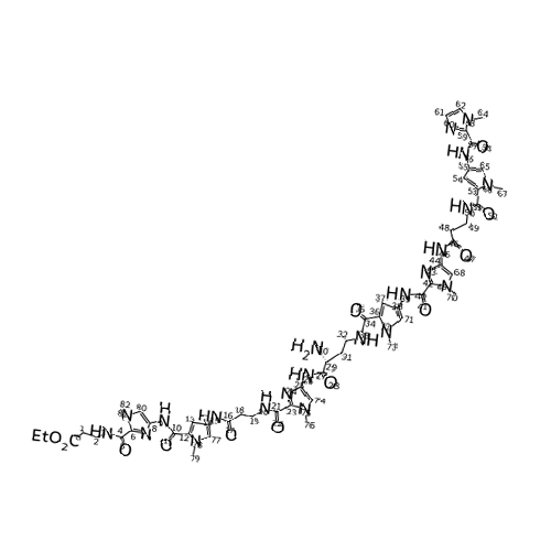 CCOC(=O)CCNC(=O)c1nc(NC(=O)c2cc(NC(=O)CCNC(=O)c3nc(NC(=O)[C@H](N)CCNC(=O)c4cc(NC(=O)c5nc(NC(=O)CCNC(=O)c6cc(NC(=O)c7nccn7C)cn6C)cn5C)cn4C)cn3C)cn2C)cn1C